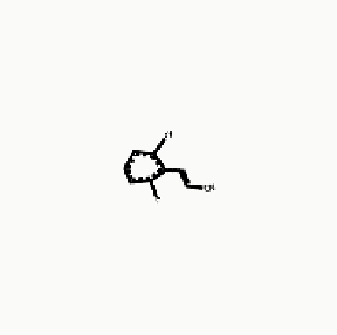 N#CC=Cc1c(F)cccc1Cl